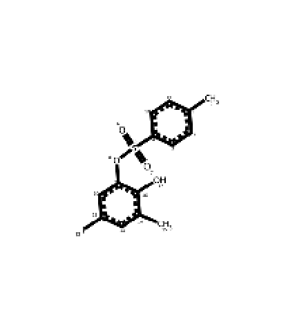 Cc1ccc(S(=O)(=O)Oc2cc(I)cc(C)c2O)cc1